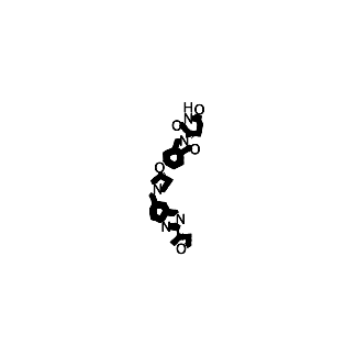 O=C1CC[C@H](N2Cc3cc(O[C@H]4CCN(Cc5ccc6nc([C@H]7CCOC7)ncc6c5)C4)ccc3C2=O)C(=O)N1